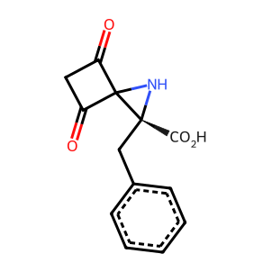 O=C1CC(=O)C12N[C@@]2(Cc1ccccc1)C(=O)O